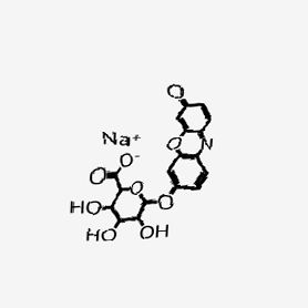 O=C([O-])C1OC(Oc2ccc3nc4ccc(=O)cc-4oc3c2)C(O)C(O)C1O.[Na+]